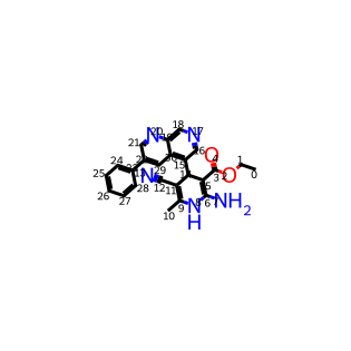 CCOC(=O)C1=C(N)NC(C)=C(C#N)C1c1cncc2ncc(-c3ccccc3)cc12